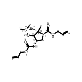 C=CCOC(=O)N[C@H]1CN(C(=O)OCC=C)[C@@](C)(C(C)(C)C)C1O[SiH](C)C